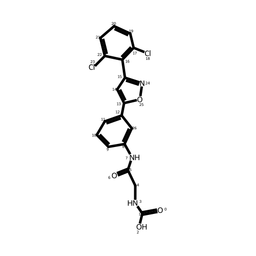 O=C(O)NCC(=O)Nc1cccc(-c2cc(-c3c(Cl)cccc3Cl)no2)c1